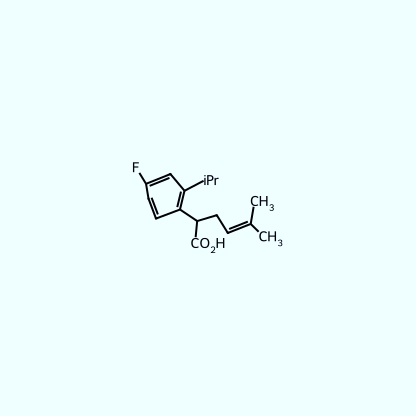 CC(C)=CCC(C(=O)O)c1ccc(F)cc1C(C)C